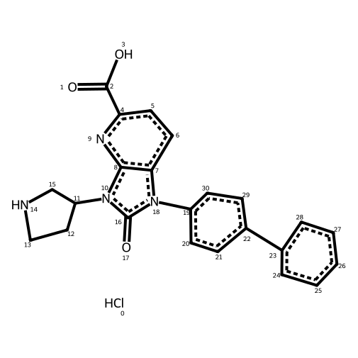 Cl.O=C(O)c1ccc2c(n1)n(C1CCNC1)c(=O)n2-c1ccc(-c2ccccc2)cc1